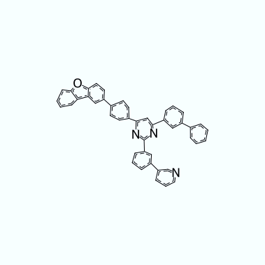 c1ccc(-c2cccc(-c3cc(-c4ccc(-c5ccc6oc7ccccc7c6c5)cc4)nc(-c4cccc(-c5cccnc5)c4)n3)c2)cc1